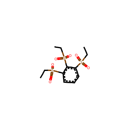 CCS(=O)(=O)c1cccc(S(=O)(=O)CC)c1S(=O)(=O)CC